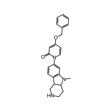 CN1c2cc(-n3ccc(OCc4ccccc4)cc3=O)ccc2C2CNCCC21